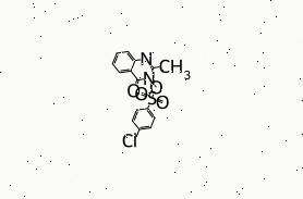 Cc1nc2ccccc2c(=O)n1OS(=O)(=O)c1ccc(Cl)cc1